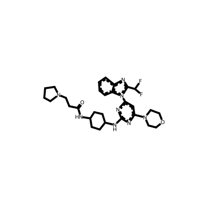 O=C(CCN1CCCC1)NC1CCC(Nc2nc(N3CCOCC3)cc(-n3c(C(F)F)nc4ccccc43)n2)CC1